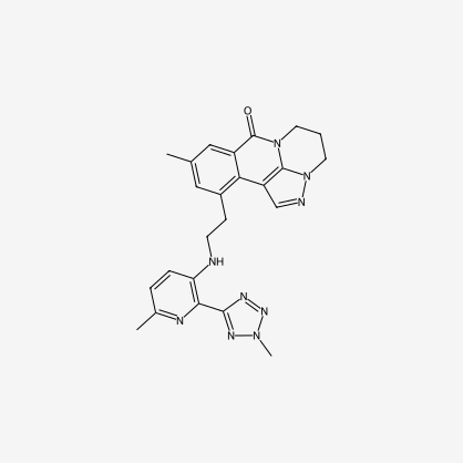 Cc1cc(CCNc2ccc(C)nc2-c2nnn(C)n2)c2c(c1)c(=O)n1c3c2cnn3CCC1